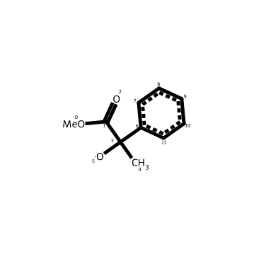 COC(=O)C(C)([O])c1ccccc1